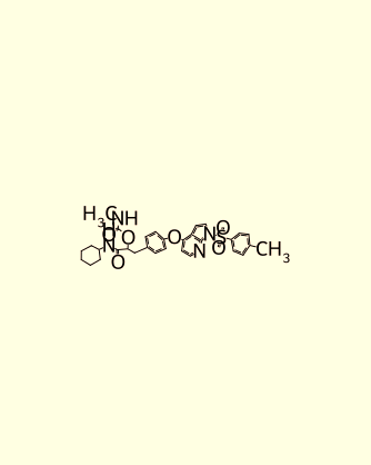 CNC(=O)OC(Cc1ccc(Oc2ccnc3c2ccn3S(=O)(=O)c2ccc(C)cc2)cc1)C(=O)NC1CCCCC1